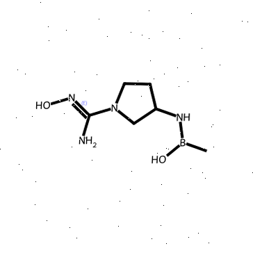 CB(O)NC1CCN(/C(N)=N/O)C1